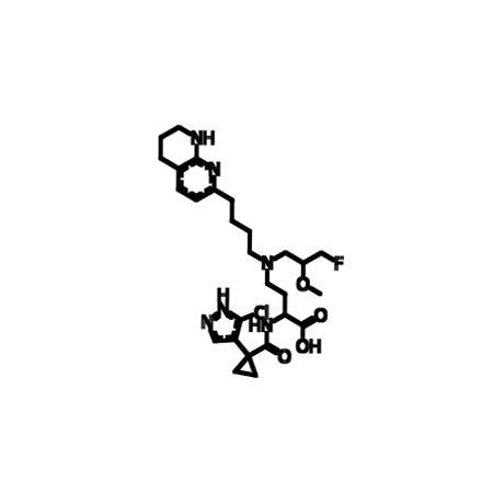 COC(CF)CN(CCCCc1ccc2c(n1)NCCC2)CCC(NC(=O)C1(c2cn[nH]c2Cl)CC1)C(=O)O